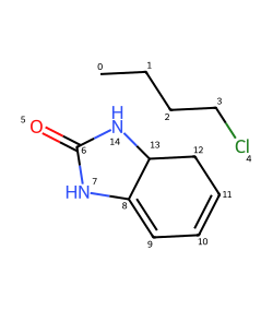 CCCCCl.O=C1NC2=CC=CCC2N1